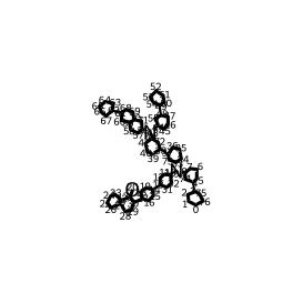 c1ccc(-c2cccc(N(c3ccc(-c4ccc5c(c4)oc4c6ccccc6ccc54)cc3)c3cccc(-c4cccc(N(c5cccc(-c6ccccc6)c5)c5ccc6cc(-c7ccccc7)ccc6c5)c4)c3)c2)cc1